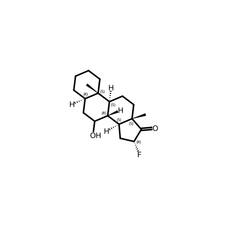 C[C@]12CCCC[C@@H]1CC(O)[C@@H]1[C@@H]2CC[C@]2(C)C(=O)[C@H](F)C[C@@H]12